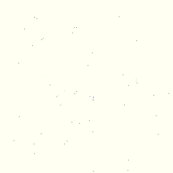 C=C(C)[C@@H]1CC=C2c3sc(-c4ccc(Cl)cc4)nc3C[C@@H](C)[C@]2(C)C1